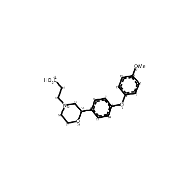 COc1ccc(Oc2ccc(C3CN(CCC(=O)O)CCO3)cc2)cc1